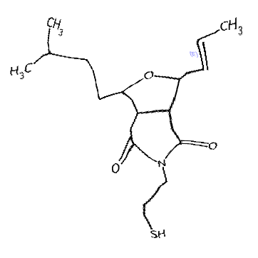 C/C=C/C1OC(CCC(C)C)C2C(=O)N(CCS)C(=O)C12